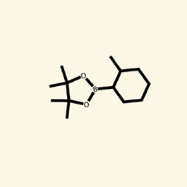 CC1CCCCC1B1OC(C)(C)C(C)(C)O1